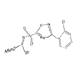 COC(=NS(=O)(=O)c1nc(-c2ccccc2Cl)ns1)C(C)(C)C